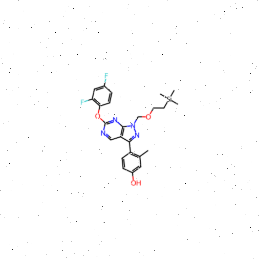 Cc1cc(O)ccc1-c1nn(COCC[Si](C)(C)C)c2nc(Oc3ccc(F)cc3F)ncc12